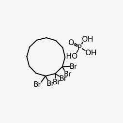 BrC1(Br)CCCCCCCCCC(Br)(Br)C1(Br)Br.O=P(O)(O)O